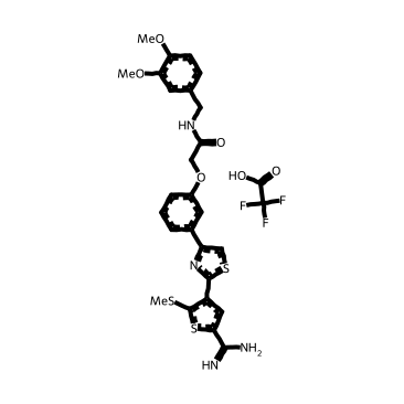 COc1ccc(CNC(=O)COc2cccc(-c3csc(-c4cc(C(=N)N)sc4SC)n3)c2)cc1OC.O=C(O)C(F)(F)F